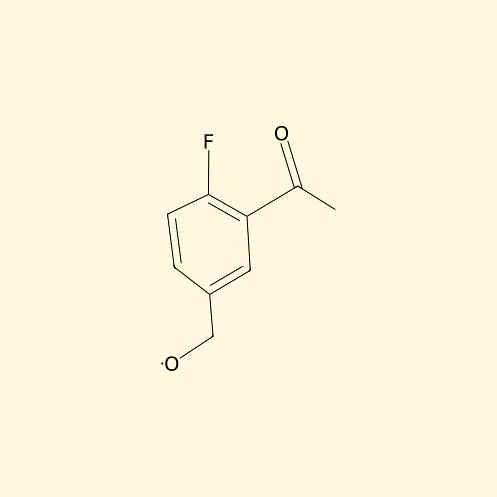 CC(=O)c1cc(C[O])ccc1F